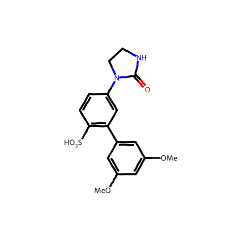 COc1cc(OC)cc(-c2cc(N3CCNC3=O)ccc2S(=O)(=O)O)c1